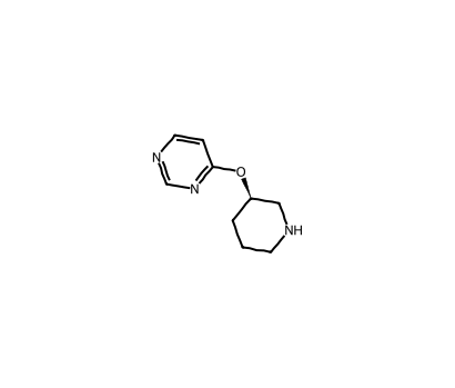 c1cc(O[C@@H]2CCCNC2)ncn1